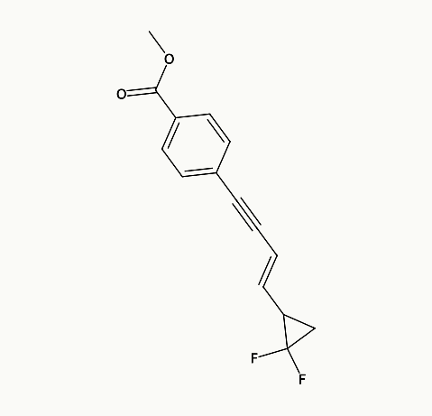 COC(=O)c1ccc(C#CC=CC2CC2(F)F)cc1